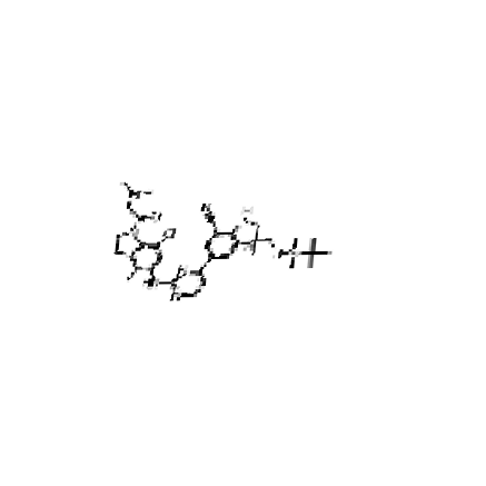 Cc1c(Nc2nccc(-c3cc(C#N)c4c(c3)[C@@](C)(CO[Si](C)(C)C(C)(C)C)CN4)n2)cc(Cl)c2c1CCN2C(=O)CN(C)C